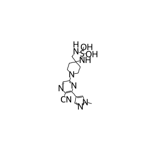 Cn1cc(-c2nc(N3CCC4(CC3)CNS(O)(O)N4)cnc2C#N)cn1